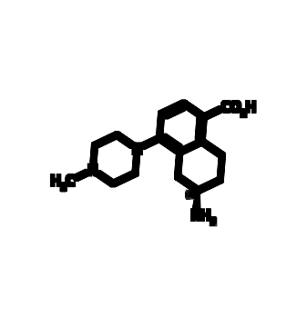 CN1CCN(c2ccc(C(=O)O)c3c2C[C@H](N)CC3)CC1